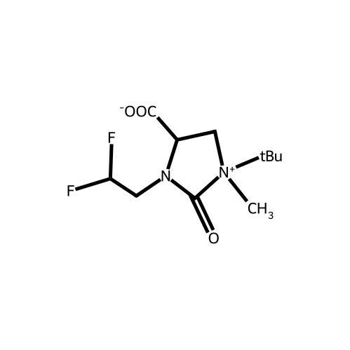 CC(C)(C)[N+]1(C)CC(C(=O)[O-])N(CC(F)F)C1=O